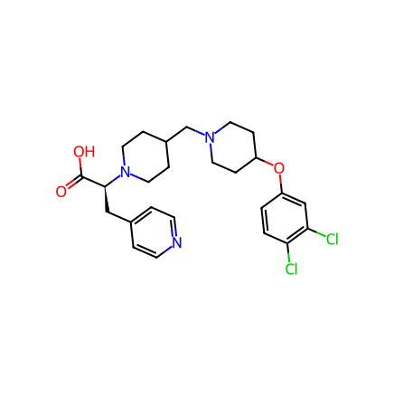 O=C(O)[C@H](Cc1ccncc1)N1CCC(CN2CCC(Oc3ccc(Cl)c(Cl)c3)CC2)CC1